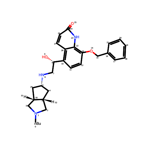 CCCCN1C[C@H]2C[C@@H](NC[C@H](O)c3ccc(OCc4ccccc4)c4[nH]c(=O)ccc34)C[C@H]2C1